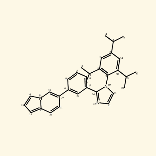 CC(C)c1cc(C(C)C)c(-n2ccnc2-c2cccc(-c3ccc4cccn4c3)c2)c(C(C)C)c1